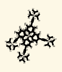 CC(C)[Si](C#Cc1c(F)c(F)c([B-](c2c(F)c(F)c(C#C[Si](C(C)C)(C(C)C)C(C)C)c(F)c2F)(c2c(F)c(F)c(C#C[Si](C(C)C)(C(C)C)C(C)C)c(F)c2F)c2c(F)c(F)c(F)c(C#C[Si](C(C)C)(C(C)C)C(C)C)c2F)c(F)c1F)(C(C)C)C(C)C